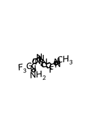 Cn1cc(-c2cc3nc(-c4nnc5ccc([C@@H](N6CC[C@H](N)C6)C(F)(F)F)cn45)ccc3cc2F)cn1